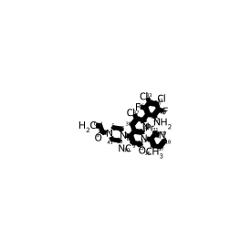 C=CC(=O)N1CCN(c2c(C#N)c(=O)n(-c3c(C)ccnc3C(C)C)c3nc(-c4c(N)c(F)c(Cl)c(Cl)c4F)c(Cl)cc23)CC1